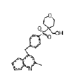 Cc1cc(Cc2ccc(S(=O)(=O)C3(CO)CCOCC3)cc2)c2ccccc2n1